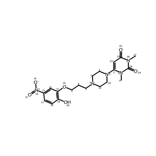 Cn1c(N2CCN(CCCOc3cc([N+](=O)[O-])ccc3O)CC2)cc(=O)n(C)c1=O